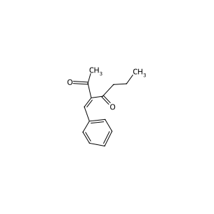 CCCC(=O)C(=Cc1ccccc1)C(C)=O